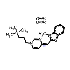 CC(=O)[O-].CC(=O)[O-].C[n+]1c(/C=C2/C=CN(CCC[N+](C)(C)C)C=N2)sc2ccccc21